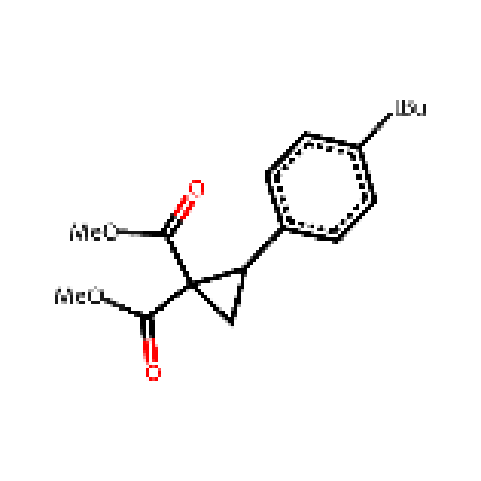 COC(=O)C1(C(=O)OC)CC1c1ccc(C(C)(C)C)cc1